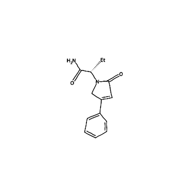 CC[C@@H](C(N)=O)N1CC(c2ccccc2)=CC1=O